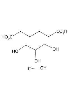 O=C(O)CCCCC(=O)O.OCC(O)CO.OCl